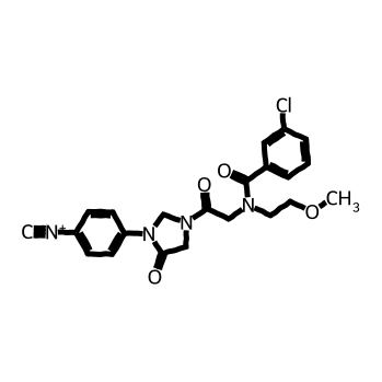 [C-]#[N+]c1ccc(N2CN(C(=O)CN(CCOC)C(=O)c3cccc(Cl)c3)CC2=O)cc1